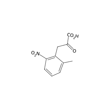 Cc1cccc([N+](=O)[O-])c1CC(=O)C(=O)O